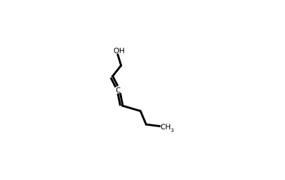 CCCC=C=CCO